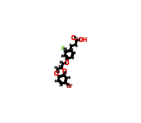 O=C(O)CCc1ccc(OCC2COc3ccc(Br)cc3O2)cc1F